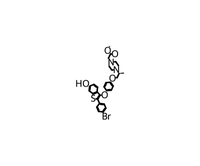 COC(=O)CN1CCN([C@@H](C)COc2ccc(Oc3c(-c4ccc(Br)cc4)sc4cc(O)ccc34)cc2)CC1